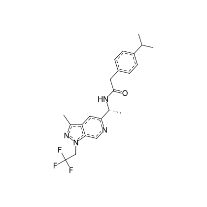 Cc1nn(CC(F)(F)F)c2cnc([C@@H](C)NC(=O)Cc3ccc(C(C)C)cc3)cc12